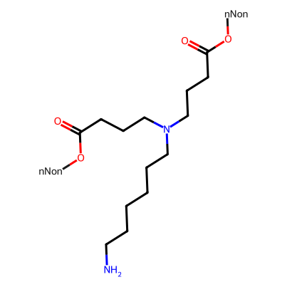 CCCCCCCCCOC(=O)CCCN(CCCCCCN)CCCC(=O)OCCCCCCCCC